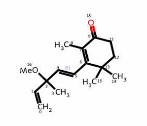 C=CC(C)(/C=C/C1=C(C)C(=O)CCC1(C)C)OC